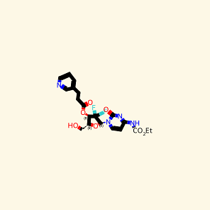 CCOC(=O)Nc1ccn([C@@H]2O[C@H](CO)[C@@H](OC(=O)CCc3cccnc3)C2(F)F)c(=O)n1